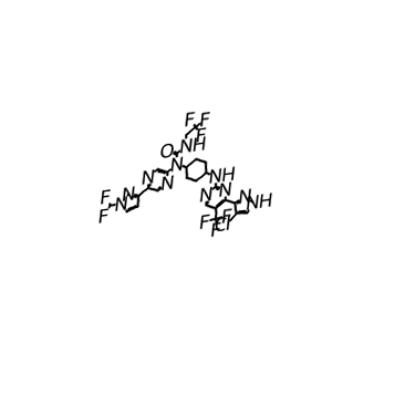 O=C(NCC(F)(F)F)N(c1cnc(-c2ccn(C(F)F)n2)cn1)C1CCC(Nc2ncc(C(F)(F)F)c(-c3n[nH]cc3Cl)n2)CC1